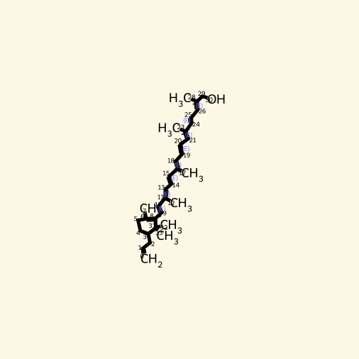 C=CCC1CCC(C)=C(/C=C/C(C)=C/C=C/C(C)=C/C=C/C=C(C)/C=C/C=C(\C)CO)C1(C)C